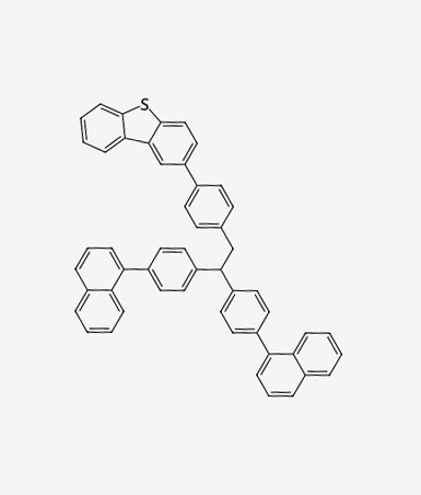 c1ccc2c(-c3ccc(C(Cc4ccc(-c5ccc6sc7ccccc7c6c5)cc4)c4ccc(-c5cccc6ccccc56)cc4)cc3)cccc2c1